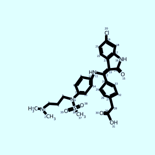 CN(C)CCCN(c1ccc(NC(=C2C(=O)Nc3cc(Cl)ccc32)c2ccc(CC(=O)O)cc2)cc1)S(C)(=O)=O